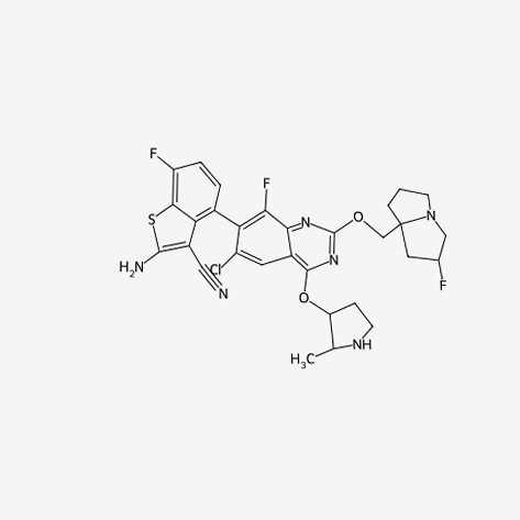 CC1NCCC1Oc1nc(OCC23CCCN2CC(F)C3)nc2c(F)c(-c3ccc(F)c4sc(N)c(C#N)c34)c(Cl)cc12